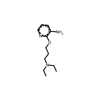 CCN(CC)CCCOc1ncccc1N